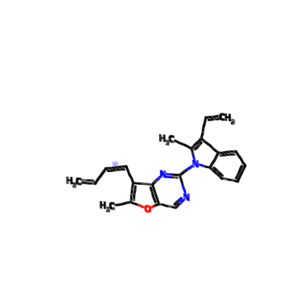 C=C/C=C\c1c(C)oc2cnc(-n3c(C)c(C=C)c4ccccc43)nc12